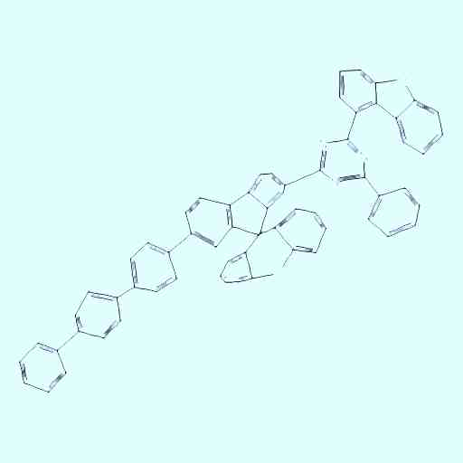 c1ccc(-c2ccc(-c3ccc(-c4ccc5c(c4)C4(c6ccccc6Oc6ccccc64)c4cc(-c6nc(-c7ccccc7)nc(-c7cccc8oc9ccccc9c78)n6)ccc4-5)cc3)cc2)cc1